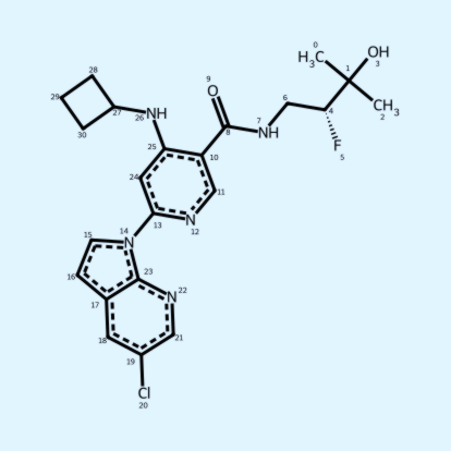 CC(C)(O)[C@H](F)CNC(=O)c1cnc(-n2ccc3cc(Cl)cnc32)cc1NC1CCC1